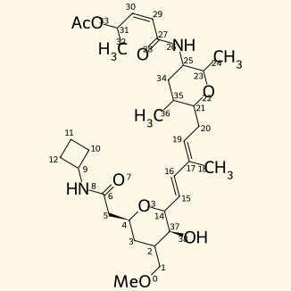 COCC1C[C@@H](CC(=O)NC2CCC2)OC(/C=C/C(C)=C/CC2OC(C)C(NC(=O)/C=C\C(C)OC(C)=O)CC2C)[C@H]1O